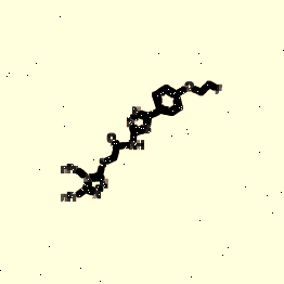 CCCc1nnc(SCC(=O)Nc2nnc(-c3ccc(OCCF)cc3)s2)n1CCC